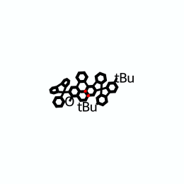 CC(C)(C)c1ccc2c(c1)C1(c3cc(C(C)(C)C)ccc3-2)c2ccccc2-c2c(-c3ccccc3-c3cc4c(c5ccccc35)Oc3ccccc3C43c4ccccc4-c4ccccc43)cccc21